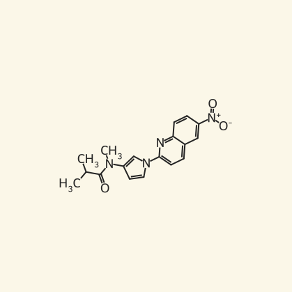 CC(C)C(=O)N(C)c1ccn(-c2ccc3cc([N+](=O)[O-])ccc3n2)c1